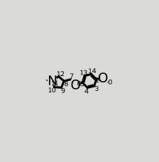 COc1ccc(OCC2CC[N]C2)cc1